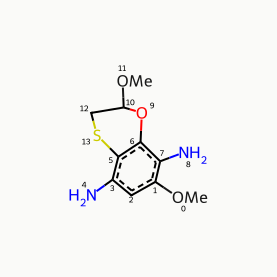 COc1cc(N)c2c(c1N)OC(OC)CS2